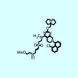 CCN(C/C=C/S(=O)(=O)CCN(C)c1nc(OCC23CCCN2CCC3)nc2c1CCN(c1cccc3cccc(Cl)c13)C2)CCOC